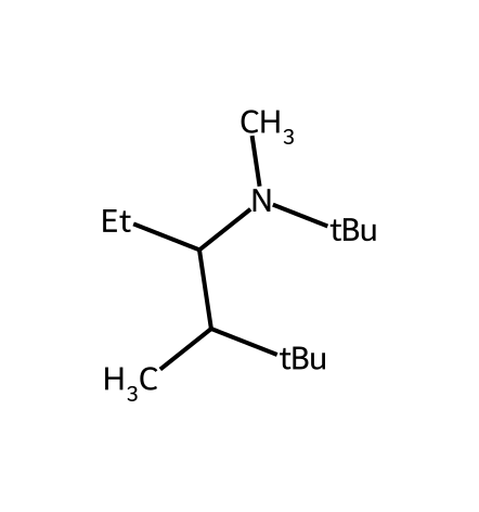 CCC(C(C)C(C)(C)C)N(C)C(C)(C)C